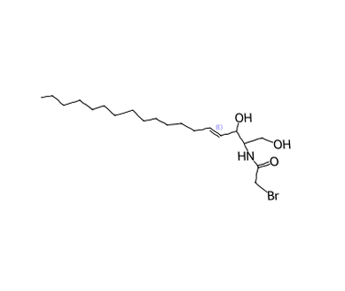 CCCCCCCCCCCCC/C=C/C(O)C(CO)NC(=O)CBr